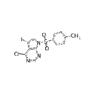 Cc1ccc(S(=O)(=O)n2cc(I)c3c(Cl)ncnc32)cc1